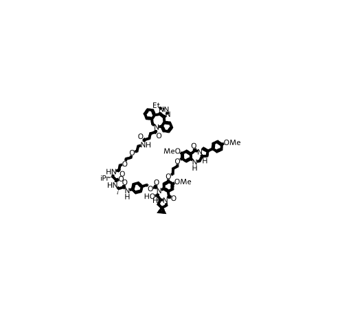 CCn1nnc2c1-c1ccccc1CN(C(=O)CCC(=O)NCCOCCOCC(=O)N[C@H](C(=O)N[C@@H](C)C(=O)Nc1ccc(COC(=O)N3c4cc(OCCCOc5cc6c(cc5OC)C(=O)N5C=C(c7ccc(OC)cc7)C[C@H]5CN6)c(OC)cc4C(=O)N4CC5(CC5)C[C@H]4C3O)cc1)C(C)C)c1ccccc1-2